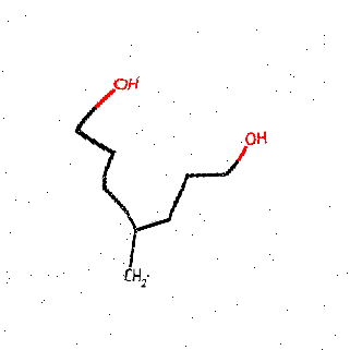 [CH2]C(CCCO)CCCO